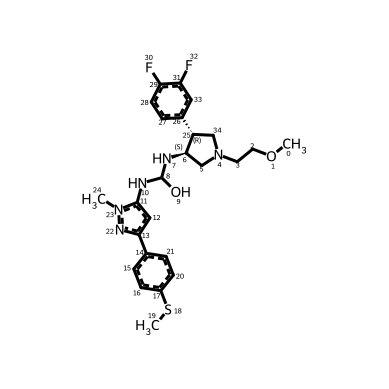 COCCN1C[C@@H](NC(O)Nc2cc(-c3ccc(SC)cc3)nn2C)[C@H](c2ccc(F)c(F)c2)C1